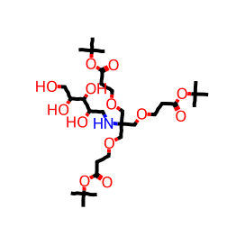 CC(C)(C)OC(=O)CCOCC(COCCC(=O)OC(C)(C)C)(COCCC(=O)OC(C)(C)C)NCC(O)C(O)C(O)CO